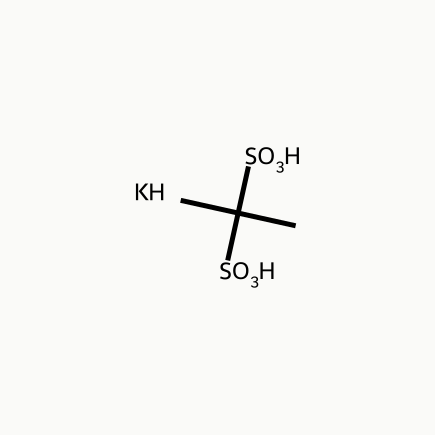 CC(C)(S(=O)(=O)O)S(=O)(=O)O.[KH]